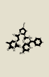 Cc1cn(CC(=O)N2C[C@H](F)C[C@H]2C(=O)N[C@@H](c2ccccc2)c2ccc(C(C)C)cn2)c(=O)[nH]c1=O